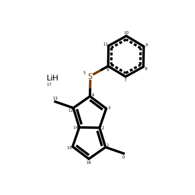 CC1=C2C=C(Sc3ccccc3)C(C)=C2C=C1.[LiH]